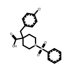 O=C(O)C1(Cc2ccc(Cl)cc2)CCN(S(=O)(=O)c2ccccc2)CC1